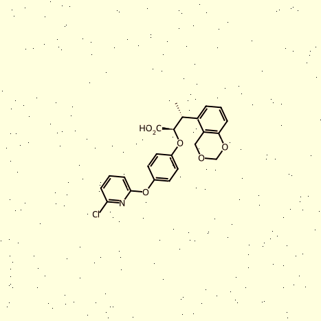 C[C@H](c1cccc2c1COCO2)[C@@H](Oc1ccc(Oc2cccc(Cl)n2)cc1)C(=O)O